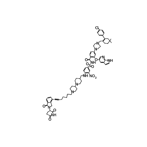 CC1(C)CCC(CN2CCN(c3ccc(C(=O)NS(=O)(=O)c4ccc(NCC5CCN(C6CCN(CCCCCC#Cc7cccc8c7CN(C7CCC(=O)NC7=O)C8=O)CC6)CC5)c([N+](=O)[O-])c4)c(Oc4cnc5[nH]ccc5c4)c3)CC2)=C(c2ccc(Cl)cc2)C1